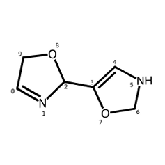 C1=NC(C2=CNCO2)OC1